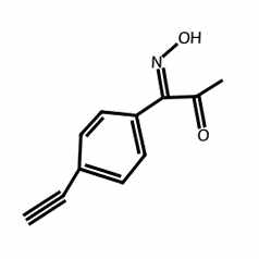 C#Cc1ccc(C(=NO)C(C)=O)cc1